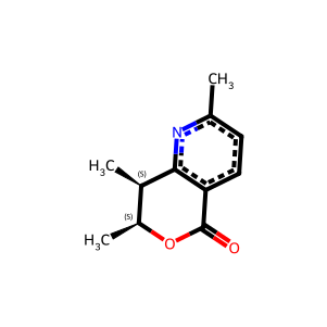 Cc1ccc2c(n1)[C@H](C)[C@H](C)OC2=O